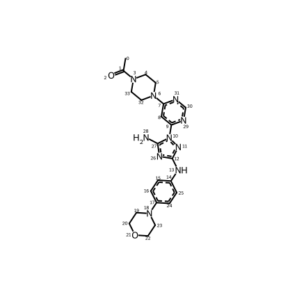 CC(=O)N1CCN(c2cc(-n3nc(Nc4ccc(N5CCOCC5)cc4)nc3N)ncn2)CC1